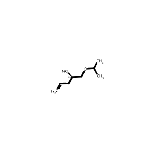 C=CC[C@@H](O)COC(C)C